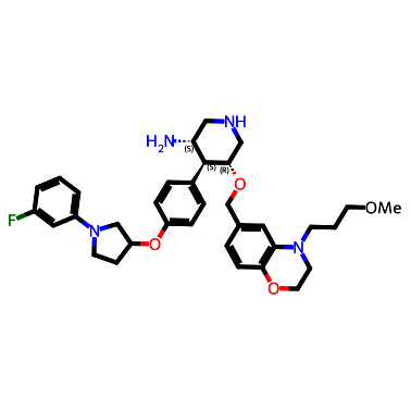 COCCCN1CCOc2ccc(CO[C@H]3CNC[C@@H](N)[C@@H]3c3ccc(OC4CCN(c5cccc(F)c5)C4)cc3)cc21